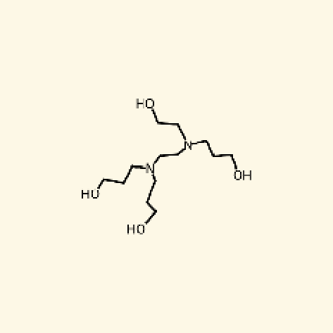 OCCCN(CCO)CCN(CCCO)CCCO